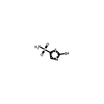 NS(=O)(=O)c1cnc(S)s1